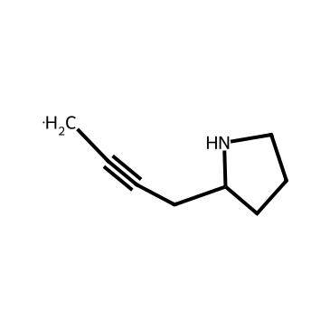 [CH2]C#CCC1CCCN1